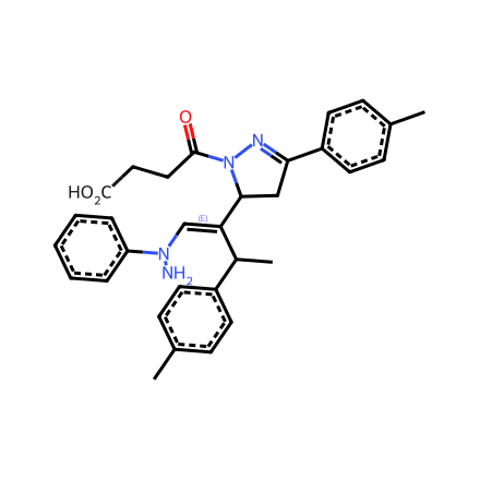 Cc1ccc(C2=NN(C(=O)CCC(=O)O)C(/C(=C/N(N)c3ccccc3)C(C)c3ccc(C)cc3)C2)cc1